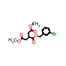 COC(=O)CC(CC(=O)OC)C(=O)OCc1cccc(Br)c1